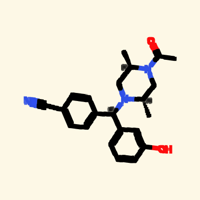 CC(=O)N1C[C@H](C)N([C@H](c2ccc(C#N)cc2)c2cccc(O)c2)C[C@H]1C